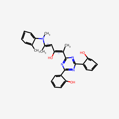 C/C(=C(O)\C=C(/C)N(C)c1ccccc1C)c1nc(-c2ccccc2O)nc(-c2ccccc2O)n1